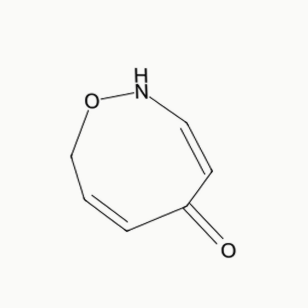 O=C1/C=C\CON/C=C\1